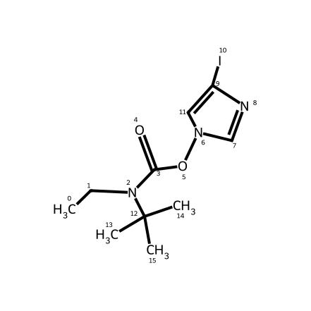 CCN(C(=O)On1cnc(I)c1)C(C)(C)C